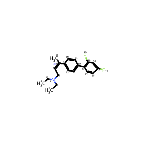 CCN(CC)C/C=C(/C)c1ccc(-c2ccc(F)cc2F)cc1